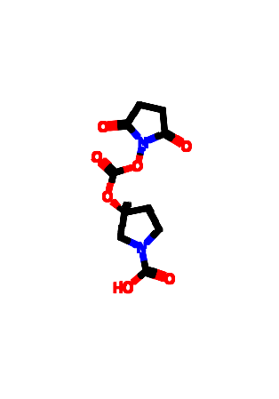 O=C(O[C@H]1CCN(C(=O)O)C1)ON1C(=O)CCC1=O